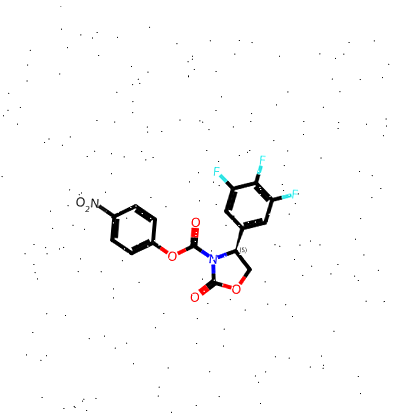 O=C1OC[C@H](c2cc(F)c(F)c(F)c2)N1C(=O)Oc1ccc([N+](=O)[O-])cc1